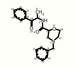 CC(NC(=O)C1CN(Cc2ccccc2)CCO1)C(=O)c1ccccc1